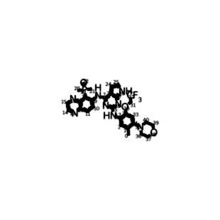 Cc1cc(Nc2nc(Nc3ccc4nccnc4c3P(C)(C)=O)c3cc[nH]c3n2)c(OCC(F)(F)F)cc1N1CCOCC1